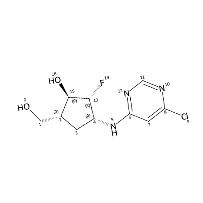 OC[C@H]1C[C@@H](Nc2cc(Cl)ncn2)[C@@H](F)[C@@H]1O